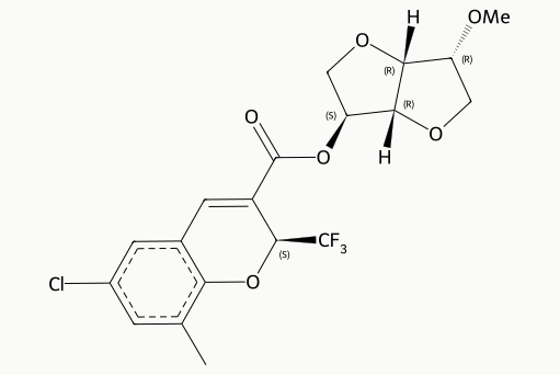 CO[C@@H]1CO[C@H]2[C@@H]1OC[C@@H]2OC(=O)C1=Cc2cc(Cl)cc(C)c2O[C@@H]1C(F)(F)F